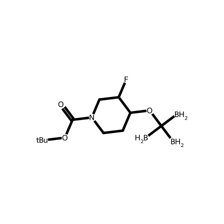 BC(B)(B)OC1CCN(C(=O)OC(C)(C)C)CC1F